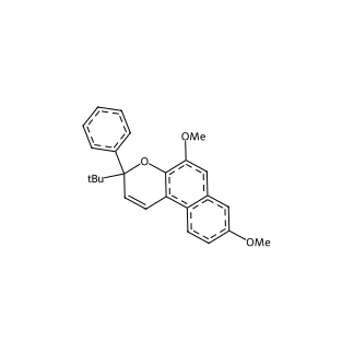 COc1ccc2c3c(c(OC)cc2c1)OC(c1ccccc1)(C(C)(C)C)C=C3